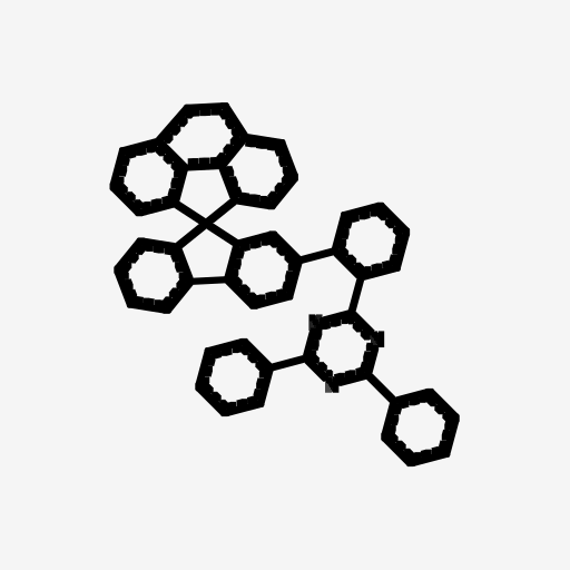 c1ccc(-c2nc(-c3ccccc3)nc(-c3ccccc3-c3ccc4c(c3)C3(c5ccccc5-4)c4cccc5ccc6cccc3c6c45)n2)cc1